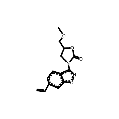 C=Cc1ccc2c(N3CC(COC)OC3=O)noc2c1